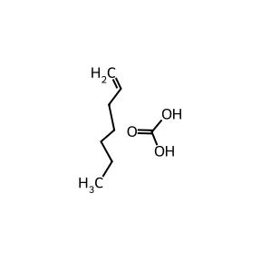 C=CCCCCC.O=C(O)O